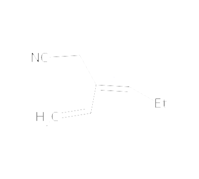 C=C/C(=C\CC)CC#N